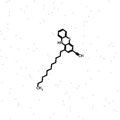 C#Cc1cc(CCCCCCCCCCCC)c2c(c1)Sc1ccccc1N2